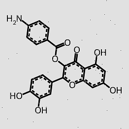 Nc1ccc(C(=O)Oc2c(-c3ccc(O)c(O)c3)oc3cc(O)cc(O)c3c2=O)cc1